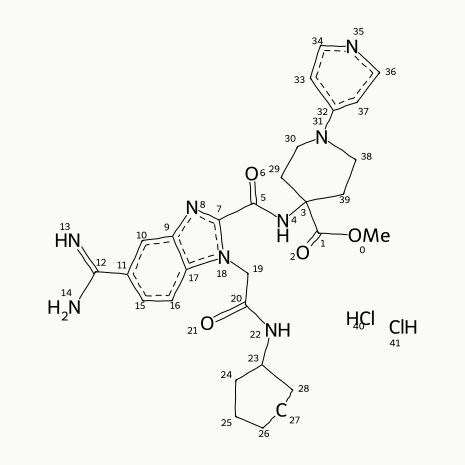 COC(=O)C1(NC(=O)c2nc3cc(C(=N)N)ccc3n2CC(=O)NC2CCCCC2)CCN(c2ccncc2)CC1.Cl.Cl